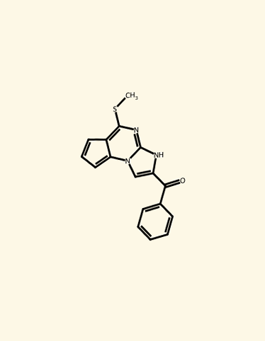 CSc1nc2[nH]c(C(=O)c3ccccc3)cn2c2cccc1-2